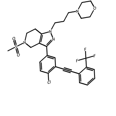 CS(=O)(=O)N1CCc2c(c(-c3ccc(Cl)c(C#Cc4ccccc4C(F)(F)F)c3)nn2CCCN2CCOCC2)C1